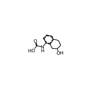 O=C(O)Nc1cccc2c1CC(O)CC2